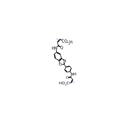 O=C(O)/C=C\C(=O)Nc1ccc(-c2nc3cc(NC(=O)/C=C\C(=O)O)ccc3o2)cc1